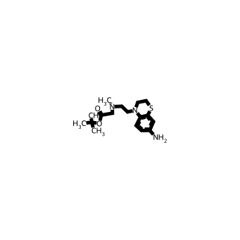 CN(CCN1CCSc2cc(N)ccc21)CC(=O)OC(C)(C)C